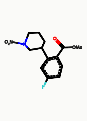 COC(=O)c1ccc(F)cc1C1CCCN([N+](=O)[O-])C1